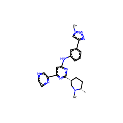 CC(=O)N1C[C@H](c2nc(Nc3cccc(-c4cn(C(C)C)nn4)c3)cc(-c3cnccn3)n2)CC[C@@H]1C